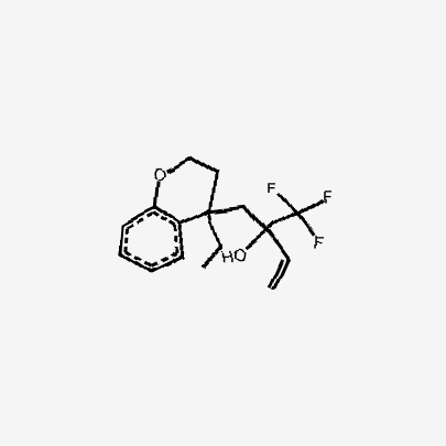 C=CC(O)(CC1(CC)CCOc2ccccc21)C(F)(F)F